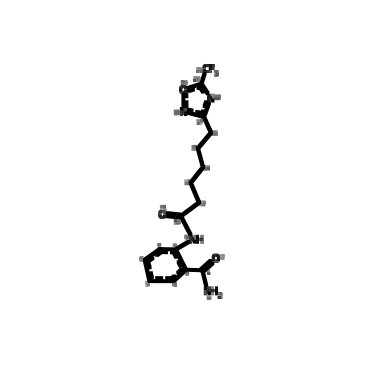 NC(=O)c1ccccc1NC(=O)CCCCCc1noc(C(F)(F)F)n1